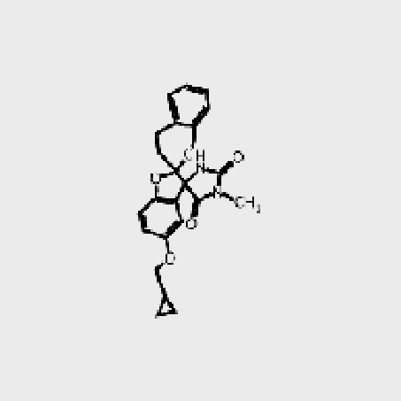 CN1C(=O)NC2(C1=O)c1cc(OCC3CC3)ccc1OC21CCc2ccccc2CC1